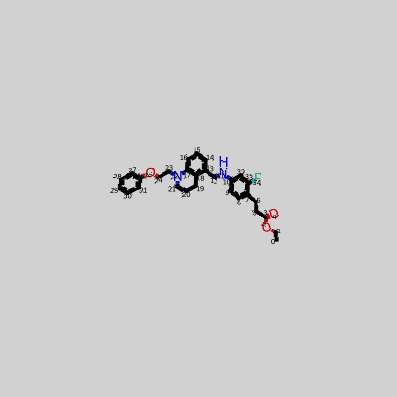 CCOC(=O)CCc1ccc(NCc2cccc3c2CCCN3CCOc2ccccc2)cc1F